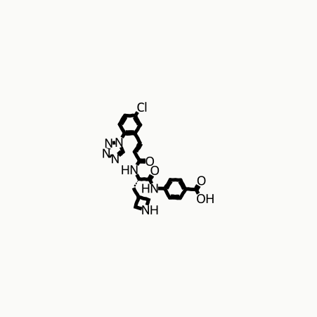 O=C(C=Cc1cc(Cl)ccc1-n1cnnn1)N[C@@H](CC1CNC1)C(=O)Nc1ccc(C(=O)O)cc1